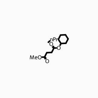 CCCC.COC(=O)CCC(=O)OC1CCCCC1